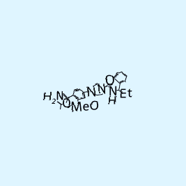 C=C(C)O/C(=C\N)c1ccc(N2CCN(C(=O)NC(CC)c3ccccc3)CC2)cc1OC